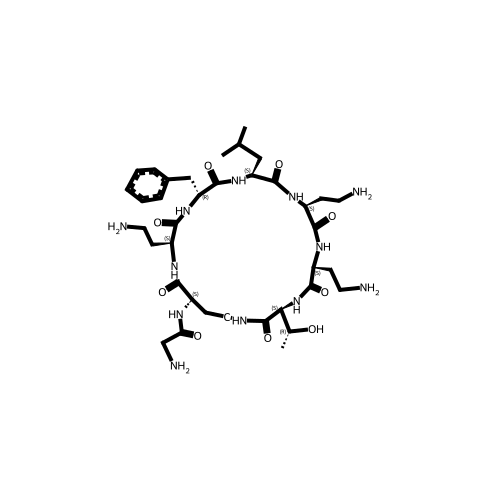 CC(C)C[C@@H]1NC(=O)[C@@H](Cc2ccccc2)NC(=O)[C@H](CCN)NC(=O)[C@@H](NC(=O)CN)CCNC(=O)[C@H]([C@@H](C)O)NC(=O)[C@H](CCN)NC(=O)[C@H](CCN)NC1=O